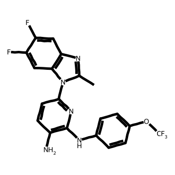 Cc1nc2cc(F)c(F)cc2n1-c1ccc(N)c(Nc2ccc(OC(F)(F)F)cc2)n1